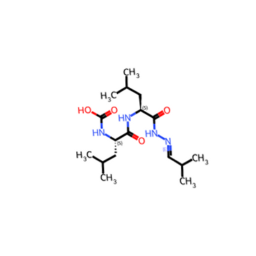 CC(C)/C=N/NC(=O)[C@H](CC(C)C)NC(=O)[C@H](CC(C)C)NC(=O)O